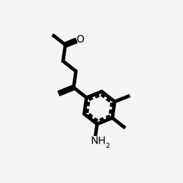 C=C(CCC(C)=O)c1cc(C)c(C)c(N)c1